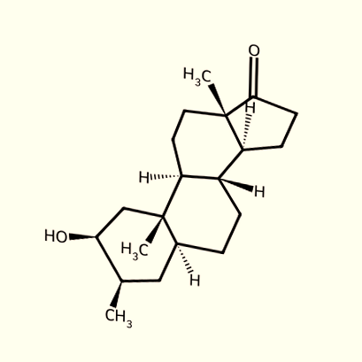 C[C@@H]1C[C@@H]2CC[C@@H]3[C@H](CC[C@]4(C)C(=O)CC[C@@H]34)[C@@]2(C)C[C@@H]1O